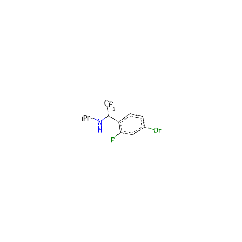 CC(C)NC(c1ccc(Br)cc1F)C(F)(F)F